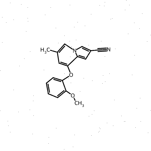 COc1ccccc1Oc1cc(C)cn2cc(C#N)cc12